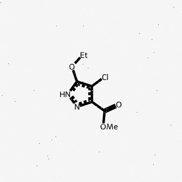 CCOc1[nH]nc(C(=O)OC)c1Cl